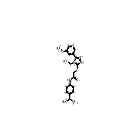 CCn1c(SCC(=O)Nc2ccc(C(C)C)cc2)nnc1-c1cncc(OC)c1